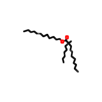 CCCCCCCCCCCCOC(=O)C(C)(CCCCCC)CCCCCCCCC